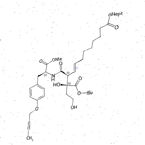 CC#CCOc1ccc(C[C@H](NC(=O)[C@@H](/C=C/CCCCCCC(=O)CCCCCCC)[C@@](O)(CCO)C(=O)OC(C)(C)C)C(=O)OC)cc1